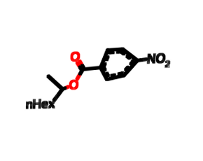 CCCCCCC(C)OC(=O)c1ccc([N+](=O)[O-])cc1